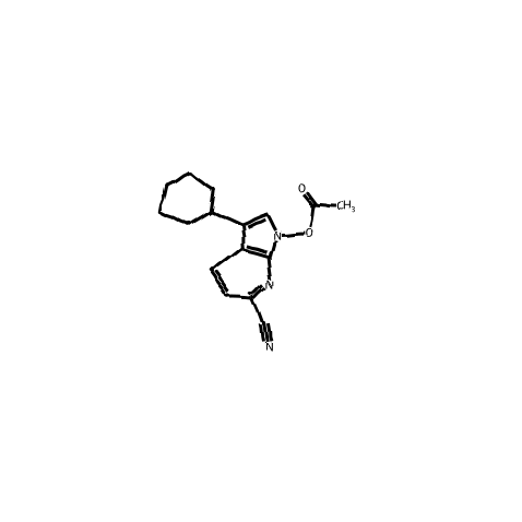 CC(=O)On1cc(C2CCCCC2)c2ccc(C#N)nc21